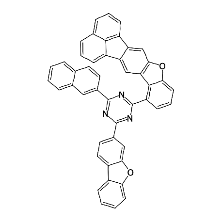 c1ccc2cc(-c3nc(-c4ccc5c(c4)oc4ccccc45)nc(-c4cccc5oc6cc7c(cc6c45)-c4cccc5cccc-7c45)n3)ccc2c1